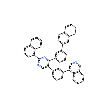 C1=C=Cc2c(cccc2-c2ncc(-c3cccc(-c4cncc5ccccc45)c3)c(-c3cccc(-c4ccc5c(c4)CCC=C5)c3)n2)C=1